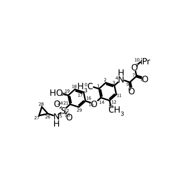 Cc1cc(NC(=O)C(=O)OC(C)C)cc(C)c1Oc1ccc(O)c(S(=O)(=O)NC2CC2)c1